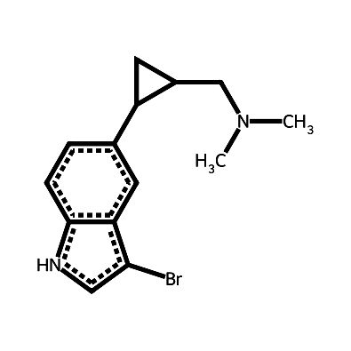 CN(C)CC1CC1c1ccc2[nH]cc(Br)c2c1